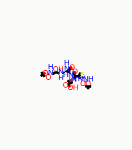 CC(C)(C)OC(=O)NC[C@@H](O)CNC[C@H]1NC(=O)[C@H]1NC(=O)/C(=N\OC(C)(C)C(=O)O)c1csc(NC(=O)OC(C)(C)C)n1